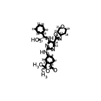 CC1(C)OC(=O)c2ccc(Nc3ncc(C4=NC5CCOCC5O4)c(N[C@H](CO)c4ccccc4)n3)cc21